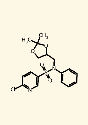 CC1(C)OCC(CN(c2ccccc2)S(=O)(=O)c2ccc(Cl)nc2)O1